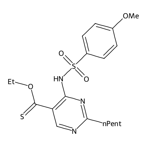 CCCCCc1ncc(C(=S)OCC)c(NS(=O)(=O)c2ccc(OC)cc2)n1